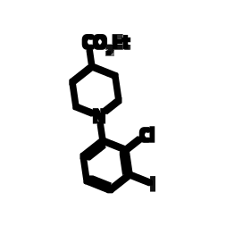 CCOC(=O)C1CCN(c2cccc(I)c2Cl)CC1